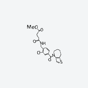 COC(=O)CCC(=O)NCc1ccc(C(=O)N2CCCCc3sccc32)cc1Cl